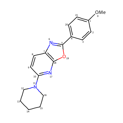 COc1ccc(-c2nc3ccc(N4CCCCC4)nc3o2)cc1